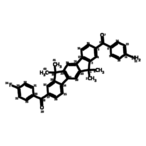 CC1(C)c2cc(C(=O)c3ccc(N)cc3)ccc2-c2cc3c(cc21)-c1ccc(C(=O)c2ccc(F)cc2)cc1C3(C)C